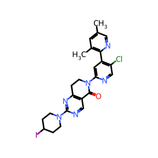 Cc1cnc(-c2cc(N3CCc4nc(N5CCC(I)CC5)ncc4C3=O)ncc2Cl)c(C)c1